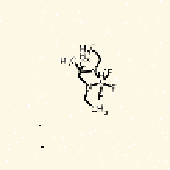 CCN(CC)[SH](F)(F)(F)N(CC)CC